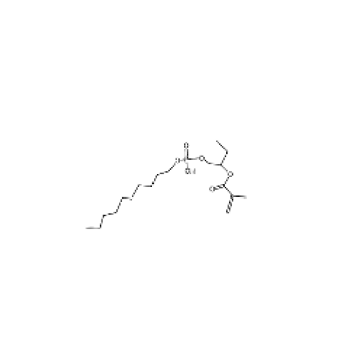 C=C(C)C(=O)OC(CC)COP(=O)(O)OCCCCCCCCCC